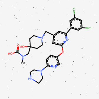 CN(CC1(O)CCN(Cc2cc(Oc3ccc(N4CCNCC4)nc3)nc(-c3cc(Cl)cc(Cl)c3)c2)CC1)C(=O)O